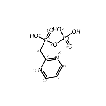 O=P(O)(O)OP(=O)(O)Cc1ncccn1